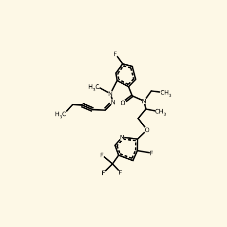 CCC#C/C=N\N(C)c1cc(F)ccc1C(=O)N(CC)C(C)COc1ncc(C(F)(F)F)cc1F